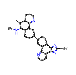 Cc1c(NC(C)C)c2ccc(-c3ccc4c(c3)c3ncccc3c3nc(C(C)C)[nH]c43)cc2c2ncccc12